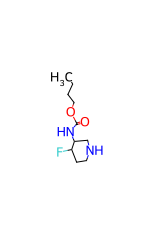 CCCCOC(=O)NC1CNCCC1F